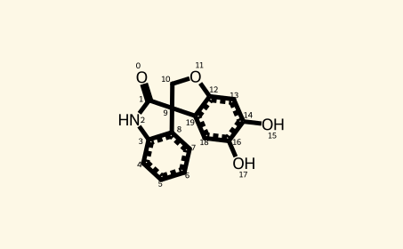 O=C1Nc2ccccc2C12COc1cc(O)c(O)cc12